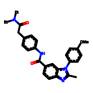 CCN(CC)C(=O)Cc1ccc(NC(=O)c2ccc3nc(C)n(-c4ccc(OC)cc4)c3c2)cc1